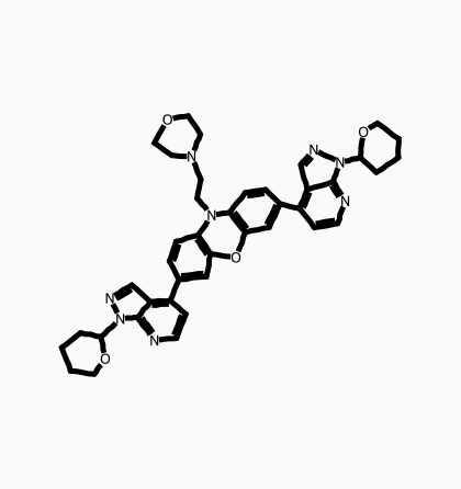 c1cc(-c2ccc3c(c2)Oc2cc(-c4ccnc5c4cnn5C4CCCCO4)ccc2N3CCN2CCOCC2)c2cnn(C3CCCCO3)c2n1